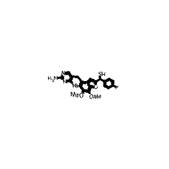 COc1cc(Cc2cnc(N)nc2N)c2cc(C(S)c3ccc(F)cc3)oc2c1OC